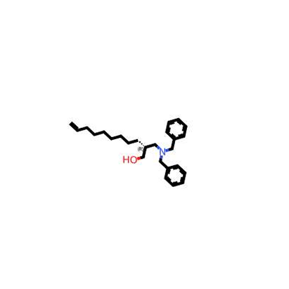 C=CCCCCCCC[C@@H](CO)CN(Cc1ccccc1)Cc1ccccc1